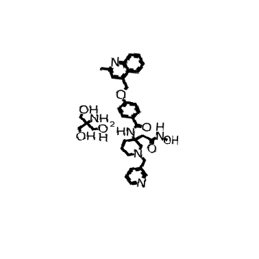 Cc1cc(COc2ccc(C(=O)NC3(CC(=O)NO)CCCN(Cc4cccnc4)C3)cc2)c2ccccc2n1.NC(CO)(CO)CO